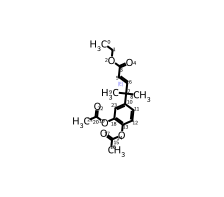 CCOC(=O)/C=C/C(C)(C)c1ccc(OC(C)=O)c(OC(C)=O)c1